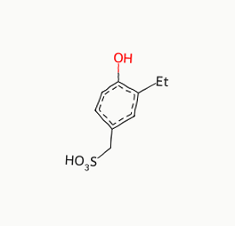 CCc1cc(CS(=O)(=O)O)ccc1O